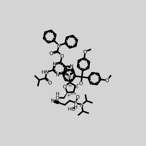 COc1ccc(C(O[C@@H]2[C@H](O[PH](O)(CCC#N)N(C(C)C)C(C)C)[C@@H](CO)O[C@H]2n2cnc3c(OC(=O)N(c4ccccc4)c4ccccc4)nc(NC(=O)C(C)C)nc32)(c2ccccc2)c2ccc(OC)cc2)cc1